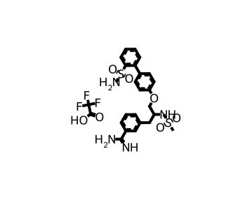 CS(=O)(=O)NC(COc1ccc(-c2ccccc2S(N)(=O)=O)cc1)Cc1cccc(C(=N)N)c1.O=C(O)C(F)(F)F